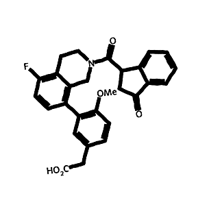 COc1ccc(CC(=O)O)cc1-c1ccc(F)c2c1CN(C(=O)C1CC(=O)c3ccccc31)CC2